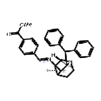 COC(=O)c1ccc(/C=N/[C@@H]2C3CCN(CC3)[C@H]2C(c2ccccc2)c2ccccc2)cc1